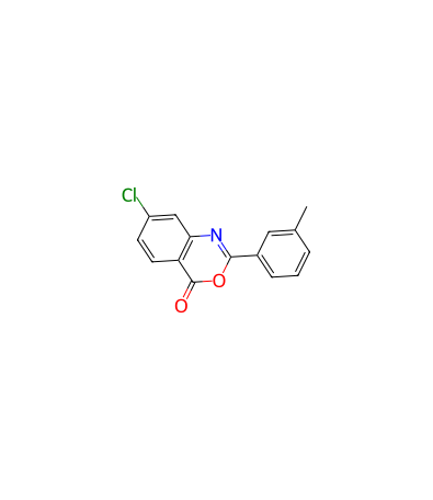 Cc1cccc(-c2nc3cc(Cl)ccc3c(=O)o2)c1